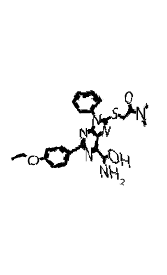 CCOc1ccc(-c2nc(C(N)O)c3nc(SCC(=O)N(C)C)n(-c4ccccc4)c3n2)cc1